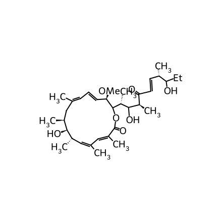 CCC(O)[C@@H](C)/C=C/C(=O)[C@@H](C)C(O)[C@@H](C)C1OC(=O)/C(C)=C/C(C)=C\[C@H](C)[C@@H](O)[C@@H](C)C/C(C)=C/C=C/[C@H]1OC